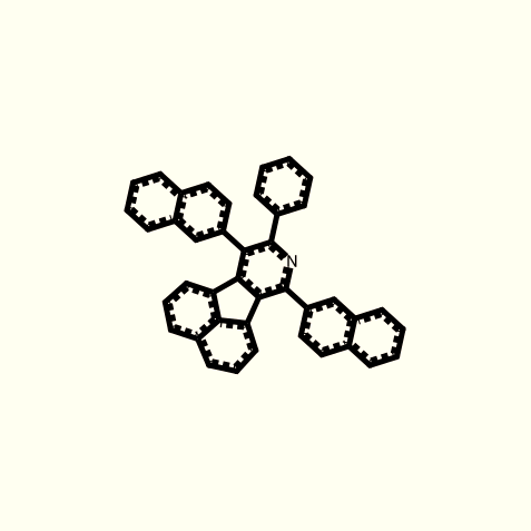 c1ccc(-c2nc(-c3ccc4ccccc4c3)c3c(c2-c2ccc4ccccc4c2)-c2cccc4cccc-3c24)cc1